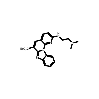 CCOC(=O)c1cc2ccc(NCCN(C)C)nc2n2c1nc1ccccc12